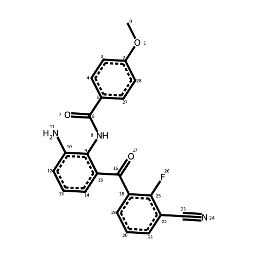 COc1ccc(C(=O)Nc2c(N)cccc2C(=O)c2cccc(C#N)c2F)cc1